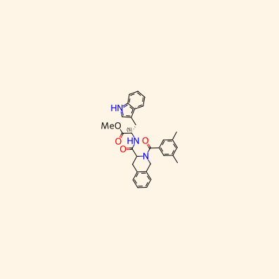 COC(=O)[C@H](Cc1c[nH]c2ccccc12)NC(=O)C1Cc2ccccc2CN1C(=O)c1cc(C)cc(C)c1